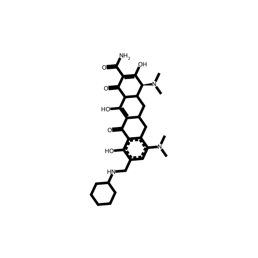 CN(C)c1cc(CNC2CCCCC2)c(O)c2c1CC1CC3C(C(=O)C(C(N)=O)=C(O)[C@H]3N(C)C)C(O)=C1C2=O